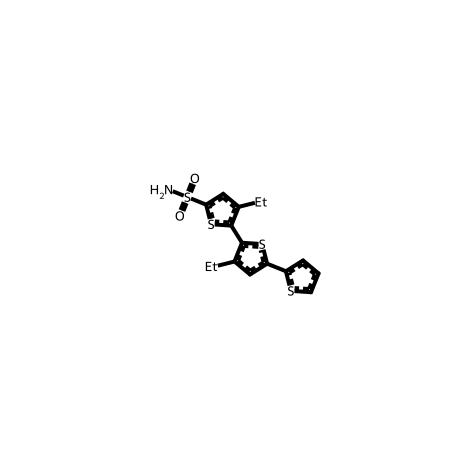 CCc1cc(-c2cccs2)sc1-c1sc(S(N)(=O)=O)cc1CC